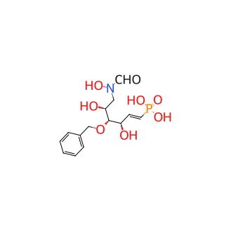 O=CN(O)C[C@H](O)[C@H](OCc1ccccc1)[C@H](O)/C=C/P(=O)(O)O